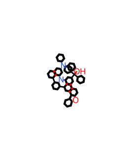 OC(c1ccccc1)(c1ccccc1)c1cc(-c2ccc3oc4ccccc4c3c2)cc(N(c2cccc(N(c3ccccc3)c3ccccc3)c2)c2c(-c3ccccc3)cccc2-c2ccccc2)c1